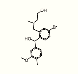 COc1cc(C(O)c2ccc(Br)cc2CN(C)CCO)ccc1C